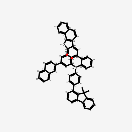 CC1(C)c2ccccc2-c2cccc(-c3ccc(N(c4cccc(-c5ccc6ccccc6c5)c4)c4ccccc4-c4ccc5oc6c7ccccc7ccc6c5c4)cc3)c21